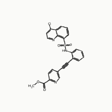 COC(=O)c1ccc(C#Cc2ccccc2NS(=O)(=O)c2cccc3c(Cl)ccnc23)cn1